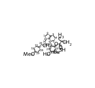 C1=Cc2cccc3cccc1c23.C=C(C)C(=O)Oc1ccc(O)cc1.C=Cc1ccc(OC)cc1.CCCCS